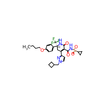 CCCCOc1ccc([C@]2(C(F)(F)F)CC(c3ccn(CC4CCC4)n3)=C(C(=O)NS(=O)(=O)C3CC3)C(=O)N2)cc1